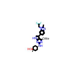 COc1nc(N[C@H]2CC[C@@](C)(O)CC2)nc2[nH]cc(-c3ccc4nc(C)n(CC(F)F)c4c3)c12